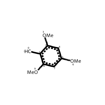 [CH]c1c(OC)cc(OC)cc1OC